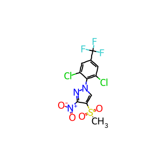 CS(=O)(=O)c1cn(-c2c(Cl)cc(C(F)(F)F)cc2Cl)nc1[N+](=O)[O-]